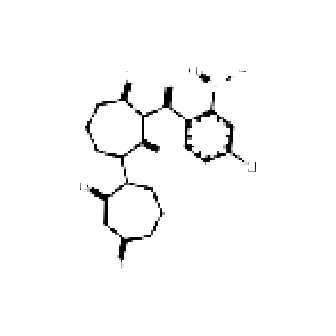 O=C1CCCC(C2CCCC(=O)C(C(=O)c3ccc(Cl)cc3[N+](=O)[O-])C2=O)C(=O)C1